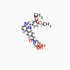 CCOc1ccc(-c2cnc3cccc(-c4ccc(CC(=O)N5CCS(O)(O)CC5)cc4)c3n2)cc1OCC